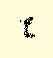 COc1ccc(NCc2ccc(C(=O)Nc3cc(-c4ccsc4)ccc3N)cc2)cc1OC